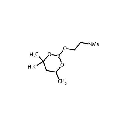 CNCCOB1OC(C)CC(C)(C)O1